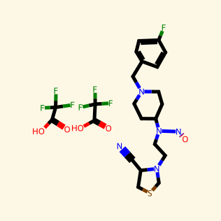 N#CC1CSCN1CCN(N=O)C1CCN(Cc2ccc(F)cc2)CC1.O=C(O)C(F)(F)F.O=C(O)C(F)(F)F